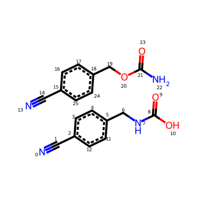 N#Cc1ccc(CNC(=O)O)cc1.N#Cc1ccc(COC(N)=O)cc1